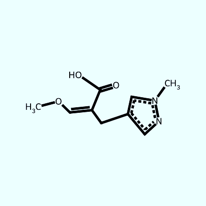 CO/C=C(/Cc1cnn(C)c1)C(=O)O